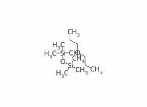 CCCOCCC.C[Si](C)(C)O[Si](C)(C)C